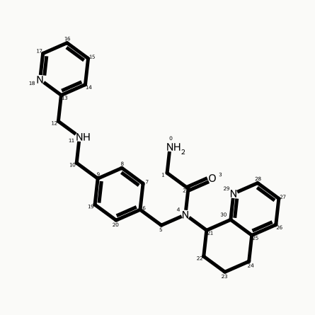 NCC(=O)N(Cc1ccc(CNCc2ccccn2)cc1)C1CCCc2cccnc21